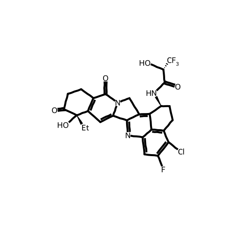 CC[C@@]1(O)C(=O)CCc2c1cc1n(c2=O)Cc2c-1nc1cc(F)c(Cl)c3c1c2[C@@H](NC(=O)[C@H](O)C(F)(F)F)CC3